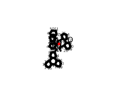 c1ccc(-c2nc(-c3ccc4c5ccccc5c5ccccc5c4c3)nc(-c3cccc4oc5cccc(-c6nc7ccccc7n6-c6ccccc6)c5c34)n2)cc1